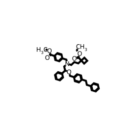 CCOC(=O)C1(CCCN(Cc2ccc(C(=O)OC)cc2)CC(OCc2ccc(CCc3ccccc3)cc2)c2ccccc2)CCC1